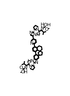 COC(=O)N[C@H](C(=O)N1CCC[C@H]1c1nc2ccc(-c3ccc(-c4ccc(-c5cnc([C@@H]6CCCN6C(=O)[C@@H](NC(O)OC)C(C)C)[nH]5)cn4)c4c3C3(CCCC3)CCC4)cc2[nH]1)C(C)C